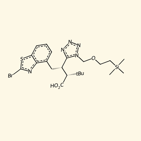 CC(C)(C)[C@H](C(=O)O)[C@H](Cc1cccc2sc(Br)nc12)c1nnnn1COCC[Si](C)(C)C